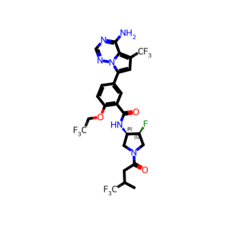 CC(CC(=O)N1C[C@H](F)[C@H](NC(=O)c2cc(-c3cc(C(F)(F)F)c4c(N)ncnn34)ccc2OCC(F)(F)F)C1)C(F)(F)F